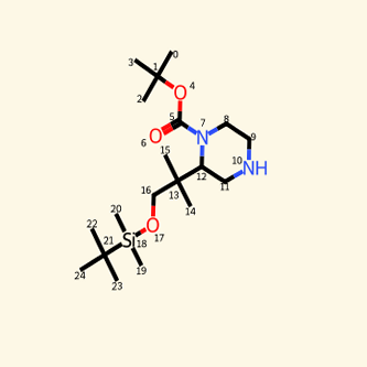 CC(C)(C)OC(=O)N1CCNCC1C(C)(C)CO[Si](C)(C)C(C)(C)C